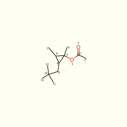 CC(=O)OC1(C)C(C)C1CC(C)(C)C